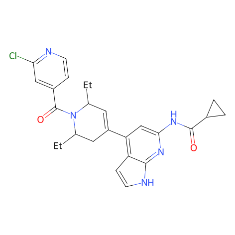 CCC1C=C(c2cc(NC(=O)C3CC3)nc3[nH]ccc23)CC(CC)N1C(=O)c1ccnc(Cl)c1